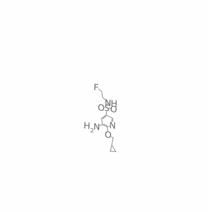 Nc1cc(S(=O)(=O)NCCF)cnc1OCC1CC1